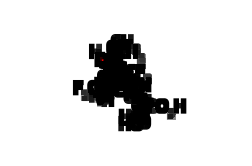 CC(C)(C#Cc1ccc(-c2ccc(Cl)c3c(CN(C(=O)CCCN(CC(=O)O)C(=O)OCOP(=O)(O)O)[SH](=O)=O)nn(CC(F)(F)F)c23)c(C(Cc2cc(F)cc(F)c2)NC(=O)Cn2nc(C(F)(F)F)c3c2C(F)(F)[C@@H]2C[C@H]32)n1)S(C)(=O)=O